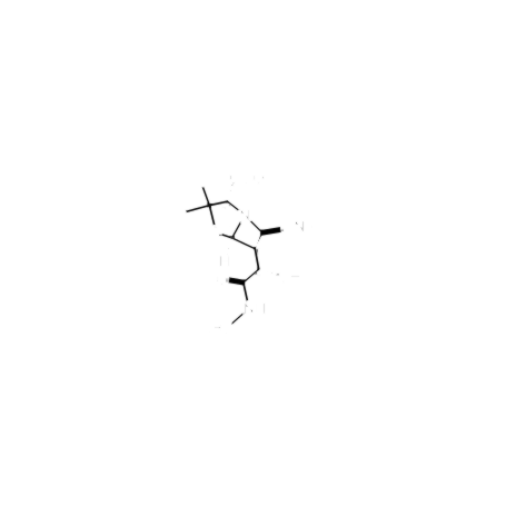 CC(C)(C)NC(=O)[C@@H](O)[C@@H]1C(=O)N2[C@@H]1SC(C)(C)[C@@H]2C(=O)[O-].[Na+]